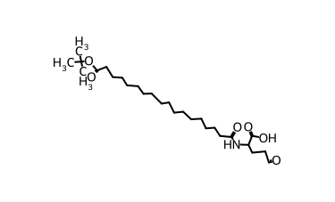 CC(C)(C)OC(=O)CCCCCCCCCCCCCCCCC(=O)NC(CCC=O)C(=O)O